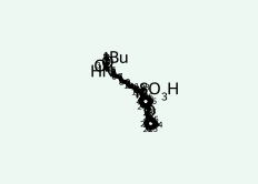 CC(C)(C)OC(=O)NCCCCCCCCN(c1ccc(OCc2ccccc2)cc1)S(=O)(=O)O